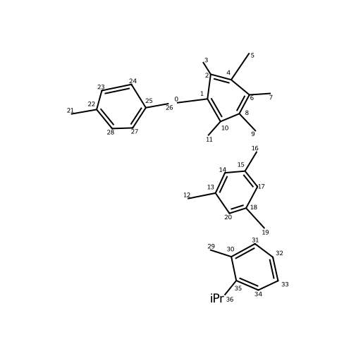 Cc1c(C)c(C)c(C)c(C)c1C.Cc1cc(C)cc(C)c1.Cc1ccc(C)cc1.Cc1ccccc1C(C)C